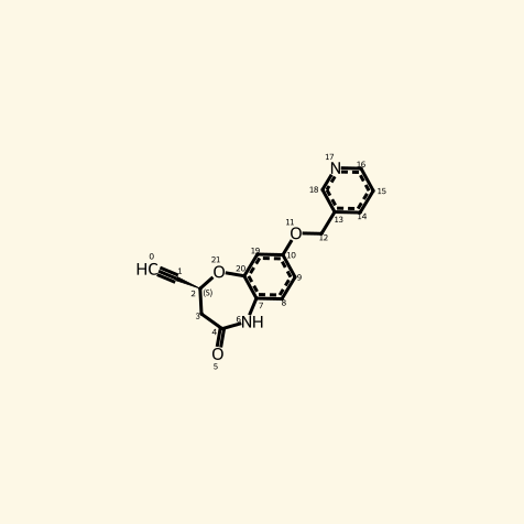 C#C[C@@H]1CC(=O)Nc2ccc(OCc3cccnc3)cc2O1